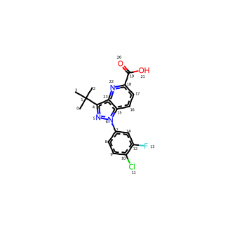 CC(C)(C)c1nn(-c2ccc(Cl)c(F)c2)c2ccc(C(=O)O)nc12